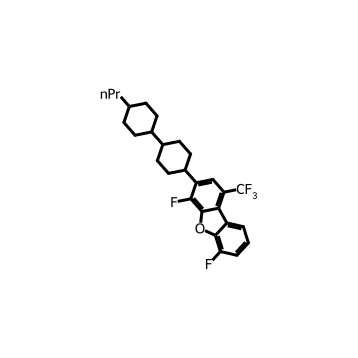 CCCC1CCC(C2CCC(c3cc(C(F)(F)F)c4c(oc5c(F)cccc54)c3F)CC2)CC1